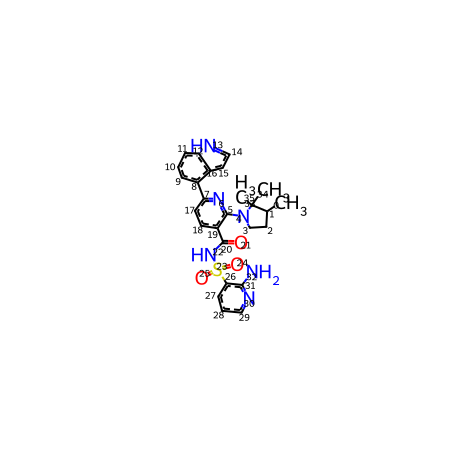 CC1CCN(c2nc(-c3cccc4[nH]ccc34)ccc2C(=O)NS(=O)(=O)c2cccnc2N)C1(C)C